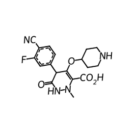 CN1NC(=O)C(c2ccc(C#N)c(F)c2)C(OC2CCNCC2)=C1C(=O)O